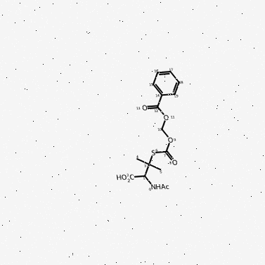 CC(=O)NC(C(=O)O)C(C)(C)SC(=O)OCOC(=O)c1ccccc1